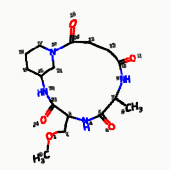 COCC1NC(=O)C(C)NC(=O)CCC(=O)N2CCCC(C2)NC1=O